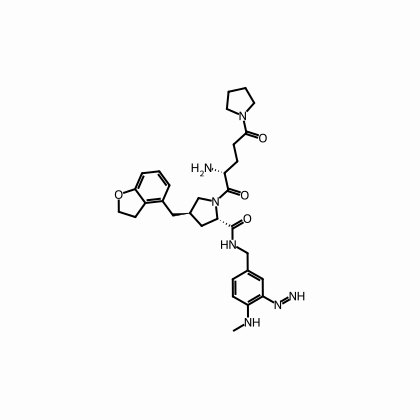 CNc1ccc(CNC(=O)[C@@H]2C[C@@H](Cc3cccc4c3CCO4)CN2C(=O)[C@H](N)CCC(=O)N2CCCC2)cc1N=N